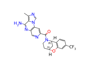 Cc1ncn2c1c(N)nc1cnc(C(=O)N3CC[C@H]4C[C@@H]3c3ccc(C(F)(F)F)cc3O4)cc12